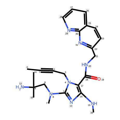 CC#CCn1c(N(C)CC(C)(C)N)nc(NC)c1C(=O)NCc1ccc2cccnc2n1